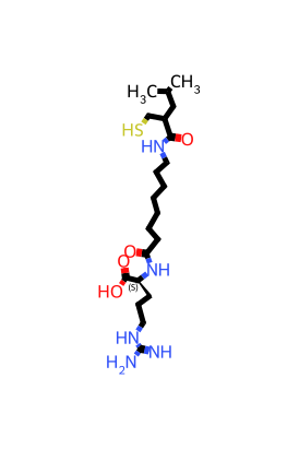 CC(C)CC(CS)C(=O)NCCCCCCCC(=O)N[C@@H](CCCNC(=N)N)C(=O)O